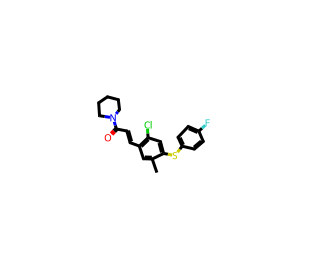 Cc1cc(C=CC(=O)N2CCCCC2)c(Cl)cc1Sc1ccc(F)cc1